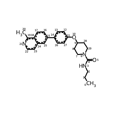 CCCNC(=O)N1CCC(Oc2ccc(-c3ccc4c(C)nccc4c3)cc2)CC1